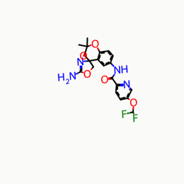 CC1(C)Oc2ccc(NC(=O)c3ccc(OC(F)F)cn3)cc2C2(COC(N)=N2)C12COC2